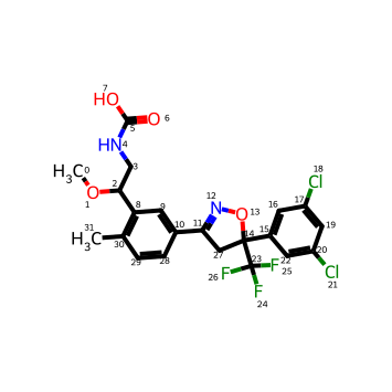 COC(CNC(=O)O)c1cc(C2=NOC(c3cc(Cl)cc(Cl)c3)(C(F)(F)F)C2)ccc1C